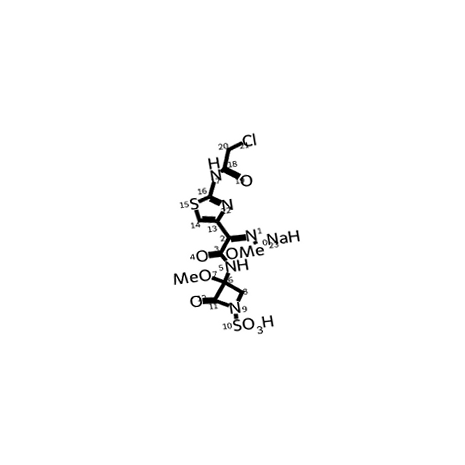 CON=C(C(=O)NC1(OC)CN(S(=O)(=O)O)C1=O)c1csc(NC(=O)CCl)n1.[NaH]